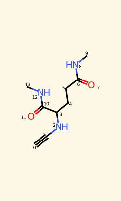 C#CNC(CCC(=O)NC)C(=O)NC